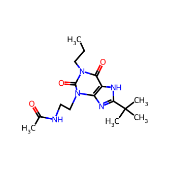 CCCn1c(=O)c2[nH]c(C(C)(C)C)nc2n(CCNC(C)=O)c1=O